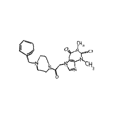 Cn1c(=O)c2c(ncn2CC(=O)N2CCN(Cc3ccccc3)CC2)n(C)c1=O